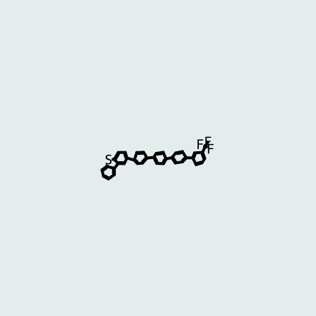 FC(F)(F)c1cccc(-c2ccc(-c3ccc(-c4ccc(-c5ccc6sc7ccccc7c6c5)cc4)cc3)cc2)c1